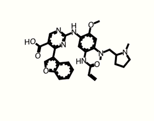 C=CC(=O)Nc1cc(Nc2ncc(C(=O)O)c(-c3coc4ccccc34)n2)c(OC)cc1N(C)CC1CCCN1C